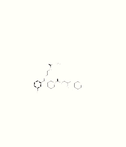 COC(=O)NCCOC(c1cccc(F)c1)[C@@H]1CCCN(C(=O)NC[C@H](N)C[C@H]2CCCOC2)C1